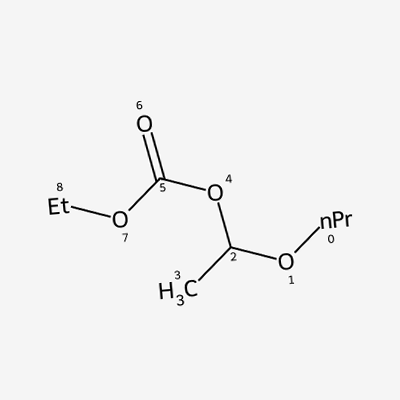 CCCOC(C)OC(=O)OCC